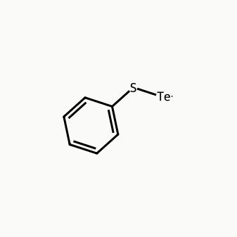 [Te]Sc1ccccc1